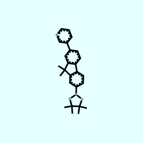 CC1(C)c2cc(B3OC(C)(C)C(C)(C)O3)ccc2-c2ccc(-c3cccnc3)cc21